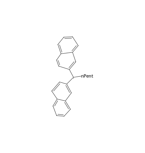 CCCCC[C](c1ccc2ccccc2c1)c1ccc2ccccc2c1